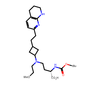 COCCN(CC[C@H](NC(=O)OC(C)(C)C)C(=O)O)C1CC(CCc2ccc3c(n2)NCCC3)C1